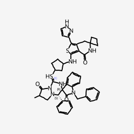 CC1CN2[C@@H](c3ccccc3)[C@@]3(N/C(=[SH]\C4CCC(Nc5sc(-c6cc[nH]n6)c6c5C(=O)NC5(CCC5)C6)C4)N2C1=O)C(=O)N(Cc1ccccc1)c1ccccc13